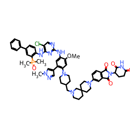 COc1cc(N2CCC(CN3CCCC4(CCN(c5ccc6c(c5)C(=O)N(C5CCC(=O)NC5=O)C6=O)CC4)C3)CC2)c(-c2cnn(C)c2)cc1Nc1ncc(Cl)c(Nc2ccc(-c3ccccc3)cc2P(C)(C)=O)n1